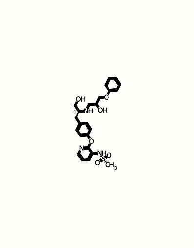 CS(=O)(=O)Nc1cccnc1Oc1ccc(C[C@@H](CO)NCC(O)COc2ccccc2)cc1